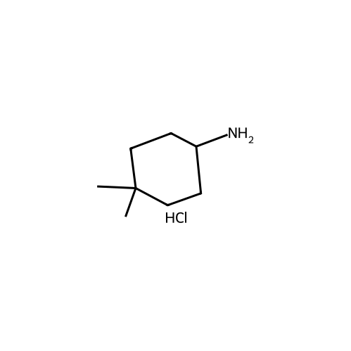 CC1(C)CCC(N)CC1.Cl